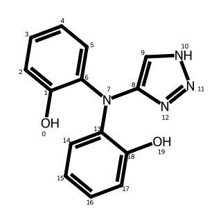 Oc1ccccc1N(c1c[nH]nn1)c1ccccc1O